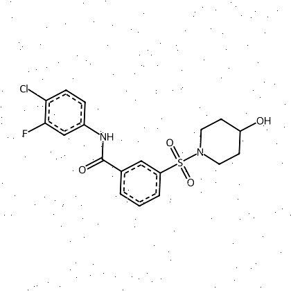 O=C(Nc1ccc(Cl)c(F)c1)c1cccc(S(=O)(=O)N2CCC(O)CC2)c1